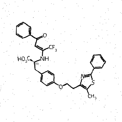 Cc1sc(-c2ccccc2)nc1CCOc1ccc(C[C@H](NC(=CC(=O)c2ccccc2)C(F)(F)F)C(=O)O)cc1